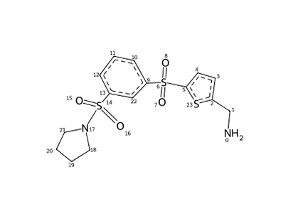 NCc1ccc(S(=O)(=O)c2cccc(S(=O)(=O)N3CCCC3)c2)s1